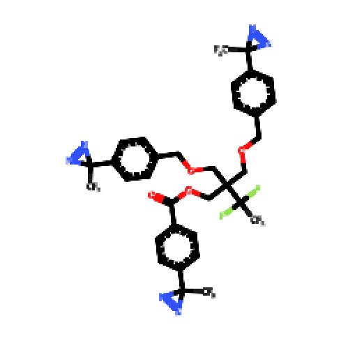 O=C(OCC(COCc1ccc(C2(C(F)(F)F)N=N2)cc1)(COCc1ccc(C2(C(F)(F)F)N=N2)cc1)C(F)(F)C(F)(F)F)c1ccc(C2(C(F)(F)F)N=N2)cc1